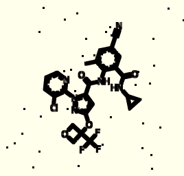 Cc1cc(C#N)cc(C(=O)NC2CC2)c1NC(=O)c1cc(OC2(C(F)(F)F)COC2)nn1-c1ncccc1Cl